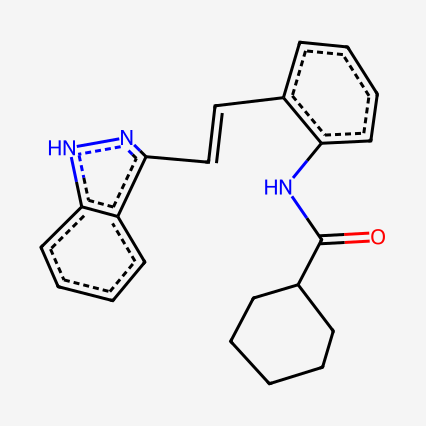 O=C(Nc1ccccc1C=Cc1n[nH]c2ccccc12)C1CCCCC1